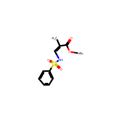 CCCCOC(=O)C(C)=CNS(=O)(=O)c1ccccc1